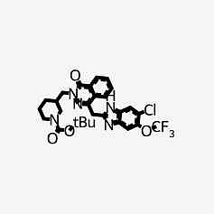 CC(C)(C)OC(=O)N1CCCC(Cn2nc(Cc3nc4cc(OC(F)(F)F)c(Cl)cc4[nH]3)c3ccccc3c2=O)C1